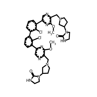 COc1nc(-c2cccc(-c3cccc(-c4cnc(CN5CCC(N6CCNC6=O)C5)c(OC)n4)c3Cl)c2Cl)cnc1CN1CCC(N2CCNC2=O)C1